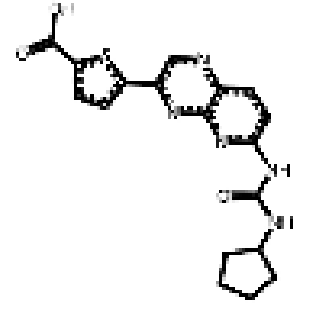 O=C(Nc1ccc2ncc(-c3ccc(C(=O)O)s3)nc2n1)NC1CCCC1